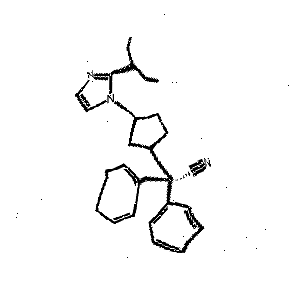 CC(C)c1nccn1[C@H]1CCC([C@](C#N)(C2=CCCC=C2)c2ccccc2)C1